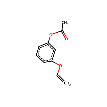 C=COc1cccc(OC(C)=O)c1